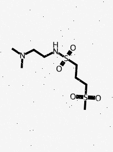 CN(C)CCNS(=O)(=O)CCCS(C)(=O)=O